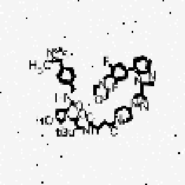 Cc1ncsc1-c1ccc(CNC(=O)[C@@H]2C[C@@H](O)CN2C(=O)[C@@H](NC(=O)CCC(=O)N2CCC(n3cc(-c4cnc5cccc(-c6cc(F)c(CN7CCOCC7)c(F)c6)c5n4)cn3)CC2)C(C)(C)C)cc1